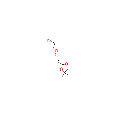 CC(C)(C)OC(=O)CCCOCCBr